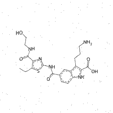 CCc1sc(NC(=O)c2ccc3[nH]c(C(=O)O)c(CCCN)c3c2)nc1C(=O)NCCO